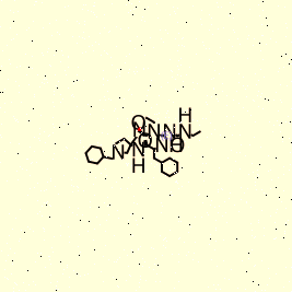 CCNC(=O)/N=C(\NC(CC1CCCCC1)C(=O)NC1(C#N)CCN(CC2CCCCC2)C1)N1CCOCC1